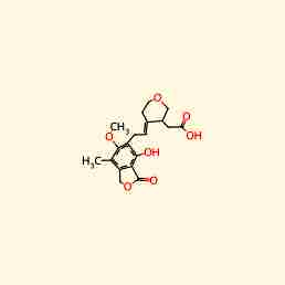 COc1c(C)c2c(c(O)c1C/C=C1\CCOCC1CC(=O)O)C(=O)OC2